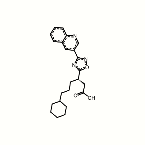 O=C(O)C[C@@H](CCCC1CCCCC1)c1nc(-c2cnc3ccccc3c2)no1